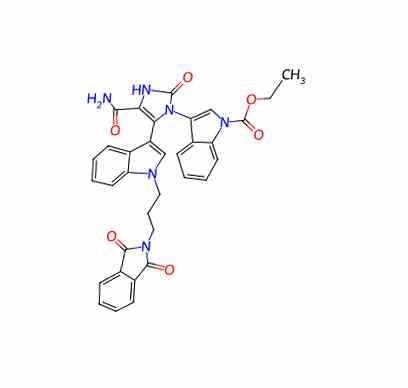 CCOC(=O)n1cc(-n2c(-c3cn(CCCN4C(=O)c5ccccc5C4=O)c4ccccc34)c(C(N)=O)[nH]c2=O)c2ccccc21